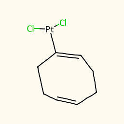 [Cl][Pt]([Cl])[C]1=CCCC=CCC1